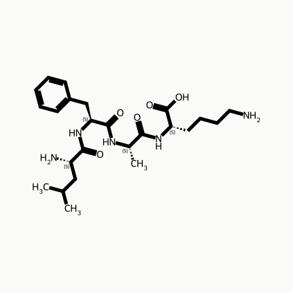 CC(C)C[C@H](N)C(=O)N[C@@H](Cc1ccccc1)C(=O)N[C@@H](C)C(=O)N[C@@H](CCCCN)C(=O)O